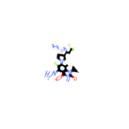 CC1c2c(c(=O)[nH]c(=O)n2C2CC2)C(N)=C(F)C1N1CCC(C(N)CC(F)F)C1